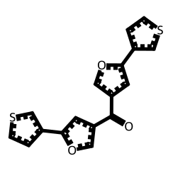 O=C(c1coc(-c2ccsc2)c1)c1coc(-c2ccsc2)c1